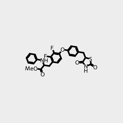 COC(=O)C(Cc1ccc(Oc2ccc(CC3SC(=O)NC3=O)cc2)c(F)c1F)Nc1ccccc1